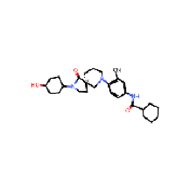 N#Cc1cc(NC(=O)C2CCCCC2)ccc1N1CCC[C@@]2(CCN(C3CCC(O)CC3)C2=O)C1